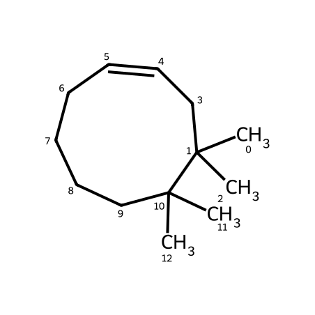 CC1(C)C/C=C\CCCCC1(C)C